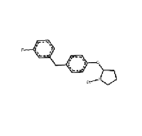 CCN1CCCC1Oc1ccc(Cc2cccc(F)c2)cc1